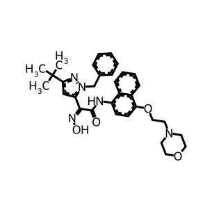 CC(C)(C)c1cc(/C(=N/O)C(=O)Nc2ccc(OCCN3CCOCC3)c3ccccc23)n(Cc2ccccc2)n1